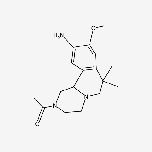 COc1cc2c(cc1N)C1CN(C(C)=O)CCN1CC2(C)C